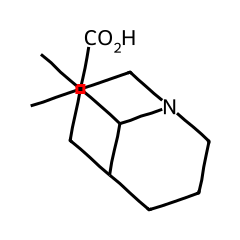 CC1CC2CCCN(C1)C2C(C)C(=O)O